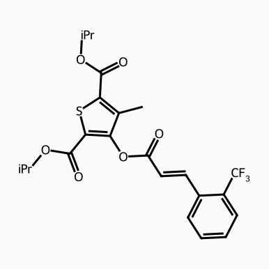 Cc1c(C(=O)OC(C)C)sc(C(=O)OC(C)C)c1OC(=O)/C=C/c1ccccc1C(F)(F)F